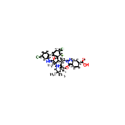 CC(C)(C)CN1[C@H]2COc3c4ccc(C(=O)O)cc4nn3C[C@H]2[C@H](c2cccc(Cl)c2F)[C@]1(C)C(=O)Nc1cccc(Cl)c1